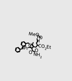 CCCc1c(C(=O)C(N)=O)c(CC(CCC[PH](=O)OC)C(=O)OCC)c(C)n1Cc1cccc(Cc2ccccc2)c1